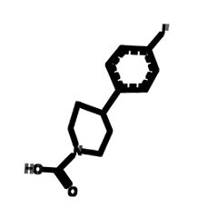 O=C(O)N1CCC(c2ccc(F)cc2)CC1